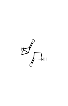 O=C1C2CN12.O=C1CCN1